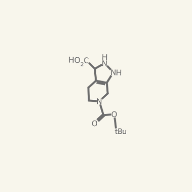 CC(C)(C)OC(=O)N1CCC2=C(C1)NNC2C(=O)O